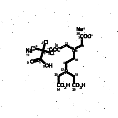 O=C(O)C(Cl)(Cl)Cl.O=C([O-])CN(CCN(CC(=O)O)CC(=O)O)CC(=O)[O-].[Na+].[Na+]